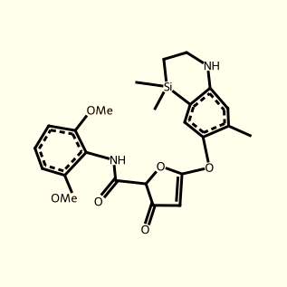 COc1cccc(OC)c1NC(=O)C1OC(Oc2cc3c(cc2C)NCC[Si]3(C)C)=CC1=O